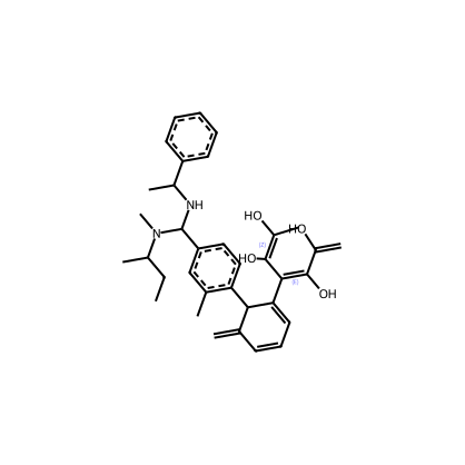 C=C(O)/C(O)=C(C1=CC=CC(=C)C1c1ccc(C(NC(C)c2ccccc2)N(C)C(C)CC)cc1C)\C(O)=C(/C)O